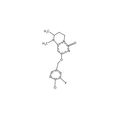 CC1CCn2c(cc(OCc3ccc(Cl)c(F)c3)nc2=O)N1C